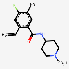 C=Cc1cc(F)c([N+](=O)[O-])cc1C(=O)NC1CCN(C(=O)O)CC1